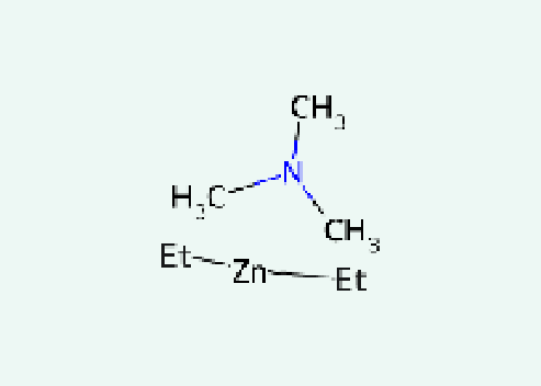 CN(C)C.C[CH2][Zn][CH2]C